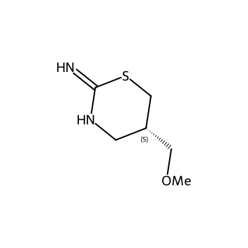 COC[C@@H]1CNC(=N)SC1